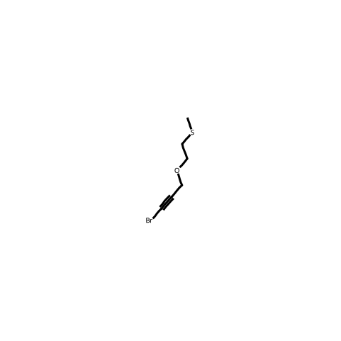 CSCCOCC#CBr